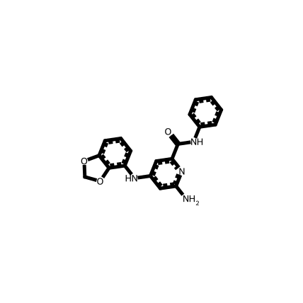 Nc1cc(Nc2cccc3c2OCO3)cc(C(=O)Nc2ccccc2)n1